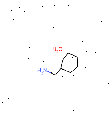 NCC1CCCCC1.O